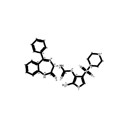 Cc1occ(S(=O)(=O)N2CCOCC2)c1OC(=O)N[C@H]1N=C(c2ccccc2)c2ccccc2NC1=O